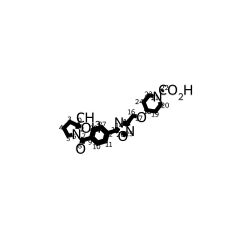 C[C@]1(O)CCCN1C(=O)c1ccc(-c2nc(COC3CCN(C(=O)O)CC3)no2)cc1